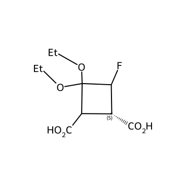 CCOC1(OCC)C(F)[C@H](C(=O)O)C1C(=O)O